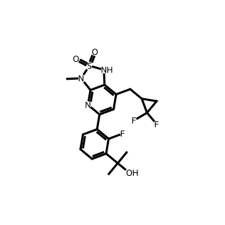 CN1c2nc(-c3cccc(C(C)(C)O)c3F)cc(CC3CC3(F)F)c2NS1(=O)=O